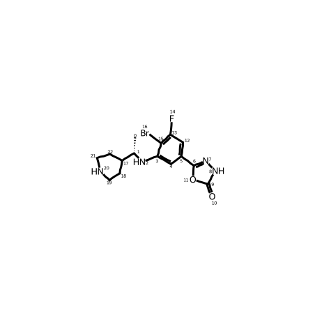 C[C@H](Nc1cc(-c2n[nH]c(=O)o2)cc(F)c1Br)C1CCNCC1